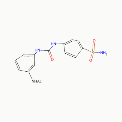 CC(=O)Nc1cccc(NC(=O)Nc2ccc(S(N)(=O)=O)cc2)c1